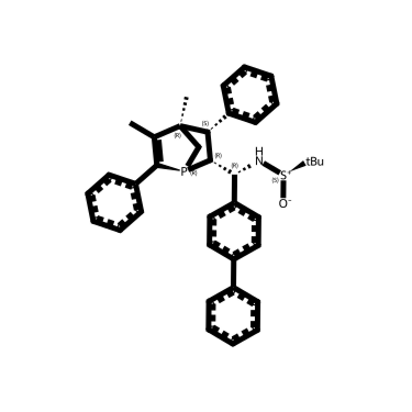 CC1=C(c2ccccc2)[P@@]2C[C@]1(C)[C@H](c1ccccc1)[C@@H]2[C@H](N[S@+]([O-])C(C)(C)C)c1ccc(-c2ccccc2)cc1